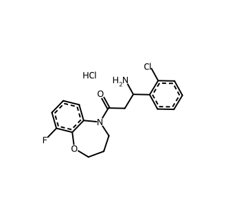 Cl.NC(CC(=O)N1CCCOc2c(F)cccc21)c1ccccc1Cl